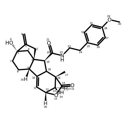 C=C1C[C@]23C[C@@]1(O)CC[C@H]2C1=C[C@H]2OC(=O)[C@@](C)(C1[C@@H]3C(=O)NCCc1ccc(OC)cc1)[C@H]2O